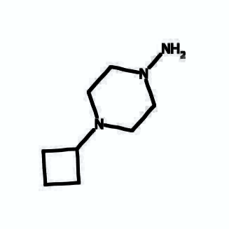 NN1CCN(C2CCC2)CC1